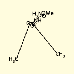 CC#CC#CC#CC#CC#CC#CC#CC#CC#CC#CC(=O)OCC(CNCCCCC(N)C(=O)OC)OC(=O)C#CC#CC#CC#CC#CC#CC#CC#CC#CC#CC